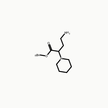 CCCCOC(=O)C(CCN)N1CCCCC1